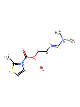 Cc1scc[n+]1C(=O)OCCN=CN(C)C.[Br-]